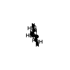 CN(C)CCNc1cc(F)cc(-c2cccc3[nH]c(-c4n[nH]c5cnc(-c6cncc(NC(=O)CN(C)C)c6)cc45)nc23)c1